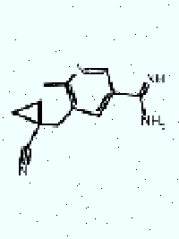 Cc1ncc(C(=N)N)cc1CC1(C#N)CC1